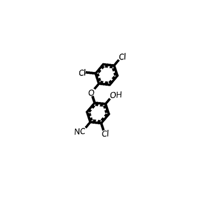 N#Cc1cc(Oc2ccc(Cl)cc2Cl)c(O)cc1Cl